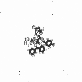 CC(C)(C)[Si](C)(C)O[C@@H](C(=O)OC(c1ccccc1)c1ccccc1)[C@@H](OCc1ccc(F)cc1)[C@H]1CN2C(=O)C[C@@H]2O1